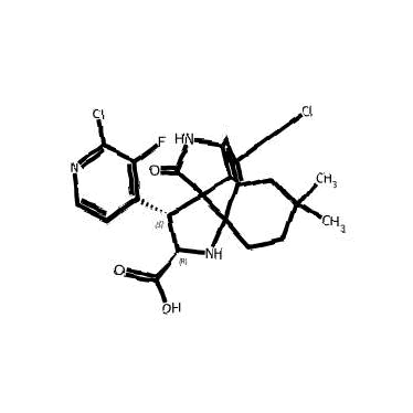 CC1(C)CCC2(CC1)N[C@@H](C(=O)O)[C@H](c1ccnc(Cl)c1F)C21C(=O)Nc2cc(Cl)ncc21